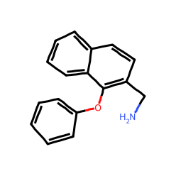 NCc1ccc2ccccc2c1Oc1ccccc1